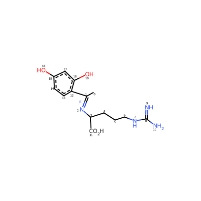 C/C(=N\C(CCCNC(=N)N)C(=O)O)c1ccc(O)cc1O